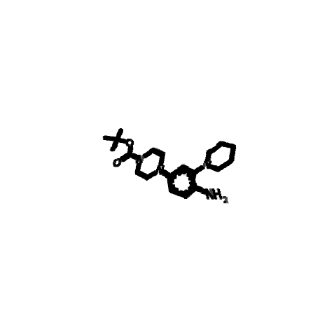 CC(C)(C)OC(=O)N1CCN(c2ccc(N)c(N3CCCCC3)c2)CC1